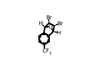 FC(F)(F)c1ccc2c(c1)[C@@H]1O[C@H]2[C@@H](Br)[C@H]1Br